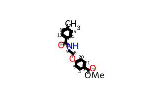 COC(=O)c1ccc(OCCNC(=O)c2ccc(C)cc2)cc1